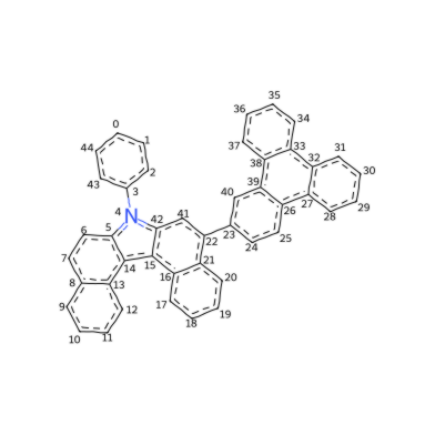 c1ccc(-n2c3ccc4ccccc4c3c3c4ccccc4c(-c4ccc5c6ccccc6c6ccccc6c5c4)cc32)cc1